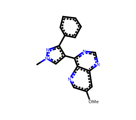 COc1cnc2c(-c3cn(C)nc3-c3ccccc3)ncnc2c1